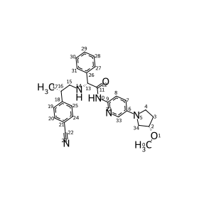 CO[C@H]1CCN(c2ccc(NC(=O)[C@H](NC[C@@H](C)c3ccc(C#N)cc3)c3ccccc3)nc2)C1